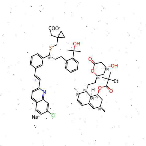 CC(C)(O)c1ccccc1CC[C@@H](SCC1(CC(=O)[O-])CC1)c1cccc(/C=C/c2ccc3ccc(Cl)cc3n2)c1.CCC(C)(C)C(=O)O[C@H]1C[C@@H](C)C=C2C=C[C@H](C)[C@H](CC[C@@H]3C[C@@H](O)CC(=O)O3)[C@H]21.[Na+]